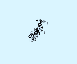 Cl.Cn1c(CNc2ccc(C(=N)N)cc2)nc2cc(C(NCC(=O)O)C(=O)N3CCCC3)ccc21